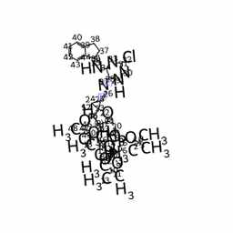 CC(C)(C)OP(CP(=O)(OC(C)(C)C)OC(C)(C)C)OC[C@H]1OC2(C/C2=C\N=c2/[nH]nc(Cl)nc2N[C@H]2CCc3ccccc32)[C@@H]2OC(C)(C)O[C@@H]21